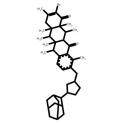 CC(=O)C1=C(C)CC2(C)C(C)C3(C)C(C)c4ccc(CC5CCC(C6C7CC8CC(C7)CC6C8)C5)c(C)c4C(=O)C3C(C)C2(C)C1=O